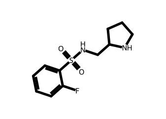 O=S(=O)(NCC1CCCN1)c1ccccc1F